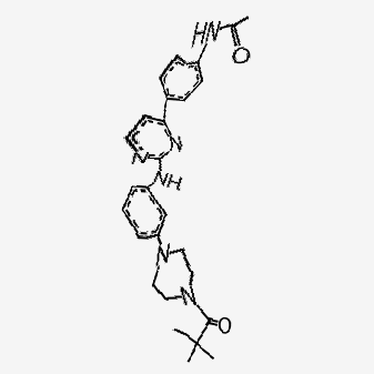 CC(=O)Nc1ccc(-c2ccnc(Nc3cccc(N4CCN(C(=O)C(C)(C)C)CC4)c3)n2)cc1